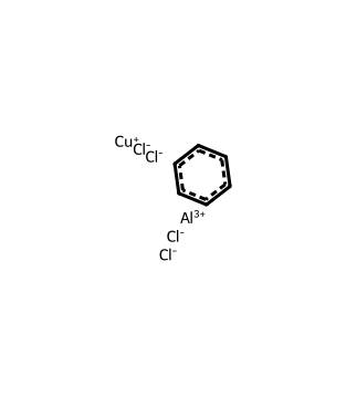 [Al+3].[Cl-].[Cl-].[Cl-].[Cl-].[Cu+].c1ccccc1